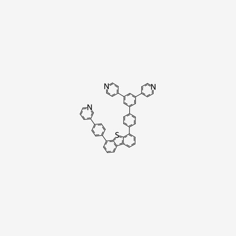 c1cncc(-c2ccc(-c3cccc4c3sc3c(-c5ccc(-c6cc(-c7ccncc7)cc(-c7ccncc7)c6)cc5)cccc34)cc2)c1